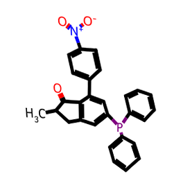 CC1Cc2cc(P(c3ccccc3)c3ccccc3)cc(-c3ccc([N+](=O)[O-])cc3)c2C1=O